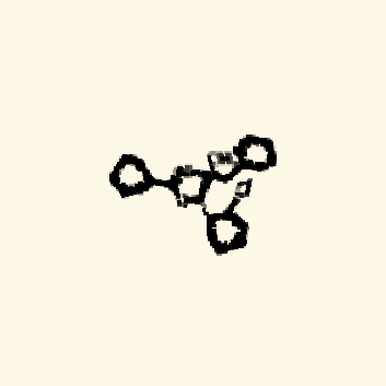 C[C@@]1(Cc2ccccc2)N=C(c2ccccc2)O[C@H]1c1ccccc1Cl